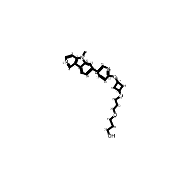 Cn1c2ccncc2c2ccc(-c3ccc(OC4CC(OCCCOCCCO)C4)nc3)cc21